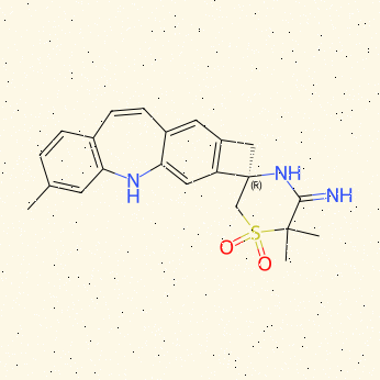 Cc1ccc2c(c1)Nc1cc3c(cc1C=C2)C[C@]31CS(=O)(=O)C(C)(C)C(=N)N1